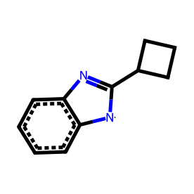 c1ccc2c(c1)[N]C(C1CCC1)=N2